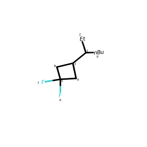 CCCCC(CC)C1CC(F)(F)C1